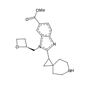 COC(=O)c1ccc2nc(C3CC34CCNCC4)n(C[C@@H]3CCO3)c2c1